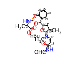 CCCCOC(=O)C(C)NP(OCC1CC(C)C(N(C)/C=C\C(=O)NC=O)O1)Oc1ccccc1